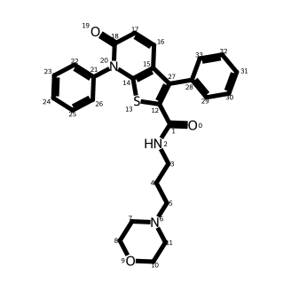 O=C(NCCCN1CCOCC1)c1sc2c(ccc(=O)n2-c2ccccc2)c1-c1ccccc1